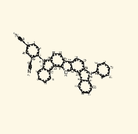 N#Cc1ccc(-n2c3ccccc3c3c4oc5c(ccc6c5c5ccccc5n6-c5ccccc5)c4ccc32)c(C#N)c1